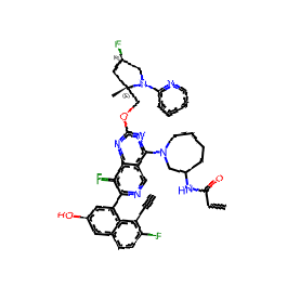 C#Cc1c(F)ccc2cc(O)cc(-c3ncc4c(N5CCCCC(NC(=O)C=C)C5)nc(OC[C@]5(C)C[C@@H](F)CN5c5ccccn5)nc4c3F)c12